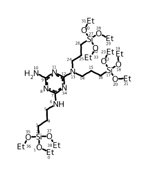 CCO[Si](CCCNc1nc(N)nc(N(CCC[Si](OCC)(OCC)OCC)CCC[Si](OCC)(OCC)OCC)n1)(OCC)OCC